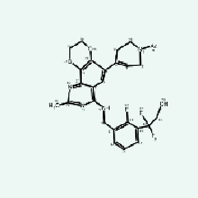 CC(=O)N1CC=C(c2cc3c(NCc4cccc(C(F)(F)CO)c4F)nc(C)nc3c3c2OCCO3)CC1